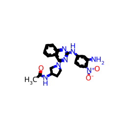 CC(=O)NC1CCN(c2nc(Nc3ccc([N+](=O)[O-])c(N)c3)nc3ccccc23)C1